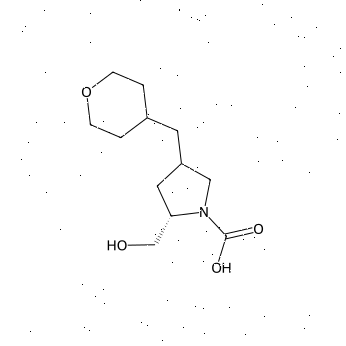 O=C(O)N1CC(CC2CCOCC2)C[C@H]1CO